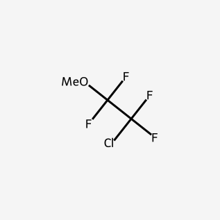 COC(F)(F)C(F)(F)Cl